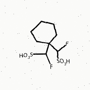 O=S(=O)(O)C(F)C1(C(F)S(=O)(=O)O)CCCCC1